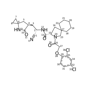 N#C[C@H](C[C@@H]1CC2(CC2)NC1=O)NC(=O)[C@@H]1CC2(CCCCC2)CN1C(=O)COc1ccc(Cl)cc1Cl